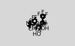 CCn1ncc(Cl)c1C(S[C@@H]1O[C@H](CO)[C@H](O)[C@H](n2cc(-c3cc(F)c(F)c(F)c3)nn2)[C@H]1OC)C1(O)CCC(F)(F)CC1